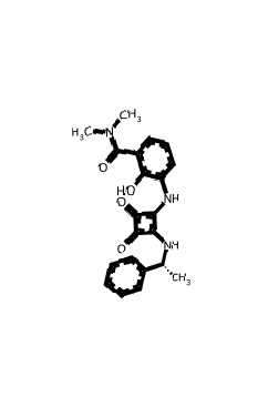 C[C@@H](Nc1c(Nc2cccc(C(=O)N(C)C)c2O)c(=O)c1=O)c1ccccc1